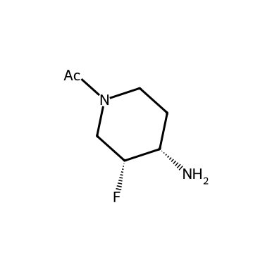 CC(=O)N1CC[C@H](N)[C@H](F)C1